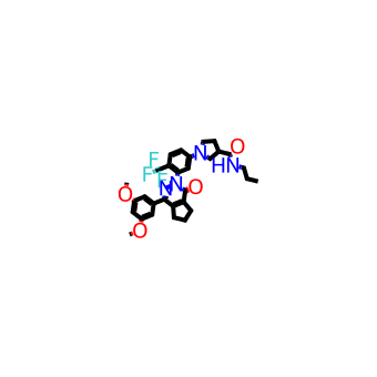 CCCNC(=O)C1CCN(c2ccc(C(F)(F)F)c(-n3nc(-c4cc(OC)cc(OC)c4)c4c(c3=O)CCC4)c2)C1